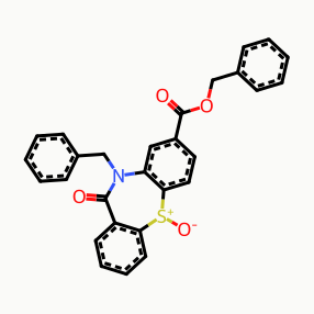 O=C(OCc1ccccc1)c1ccc2c(c1)N(Cc1ccccc1)C(=O)c1ccccc1[S+]2[O-]